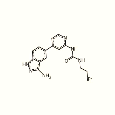 CC(C)CCNC(=O)Nc1cc(-c2ccc3[nH]nc(N)c3c2)ccn1